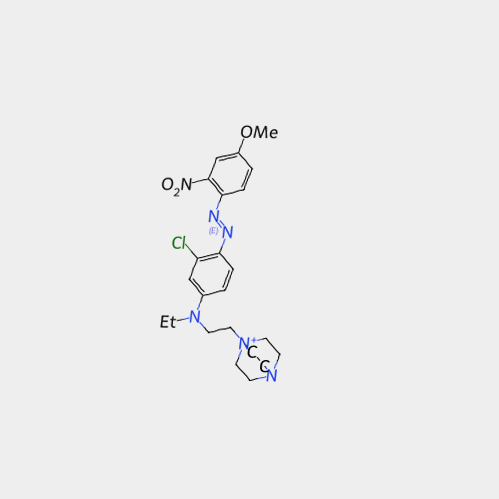 CCN(CC[N+]12CCN(CC1)CC2)c1ccc(/N=N/c2ccc(OC)cc2[N+](=O)[O-])c(Cl)c1